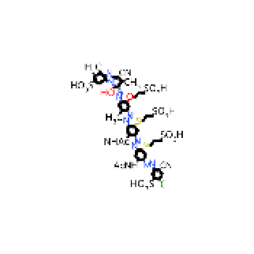 CC(=O)Nc1cc(N=Nc2cc(SCCCS(=O)(=O)O)c(N=Nc3cc(OCCCS(=O)(=O)O)c(N=Nc4c(C)c(C#N)c5nc6c(C)cc(S(=O)(=O)O)cc6n5c4O)cc3C)cc2NC(C)=O)c(SCCCS(=O)(=O)O)cc1N=Nc1cc(S(=O)(=O)O)c(Cl)cc1C#N